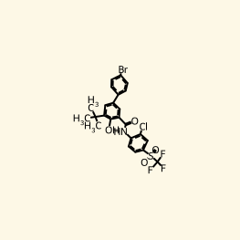 CC(C)(C)c1cc(-c2ccc(Br)cc2)cc(C(=O)Nc2ccc(S(=O)(=O)C(F)(F)F)cc2Cl)c1O